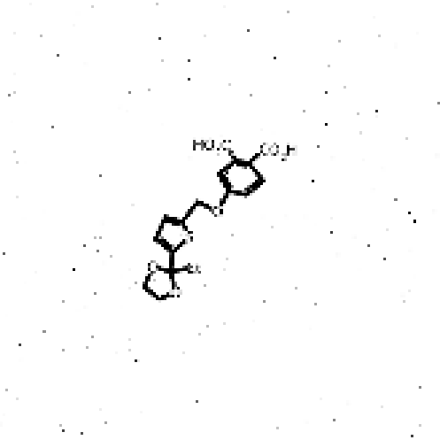 CCC1(c2ccc(COc3ccc(C(=O)O)c(C(=O)O)c3)s2)OCCO1